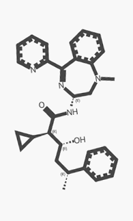 C[C@H](C[C@@H](O)[C@H](C(=O)N[C@H]1CN(C)c2ccccc2C(c2ccccn2)=N1)C1CC1)c1ccccc1